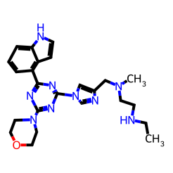 CCNCCN(C)Cc1cn(-c2nc(-c3cccc4[nH]ccc34)nc(N3CCOCC3)n2)cn1